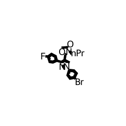 CCCN1C(=O)COC1c1cn(-c2ccc(Br)cc2)nc1-c1ccc(F)cc1